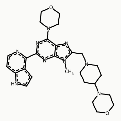 Cn1c(CN2CCC(N3CCOCC3)CC2)nc2c(N3CCOCC3)nc(-c3nccc4[nH]ccc34)nc21